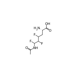 CC(=O)NC(F)C(F)C(F)C[C@H](N)C(=O)O